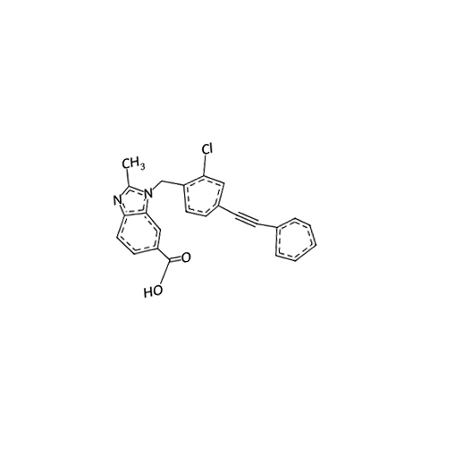 Cc1nc2ccc(C(=O)O)cc2n1Cc1ccc(C#Cc2ccccc2)cc1Cl